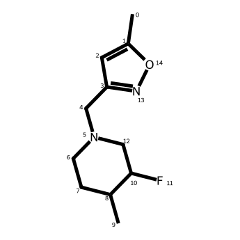 Cc1cc(CN2CCC(C)C(F)C2)no1